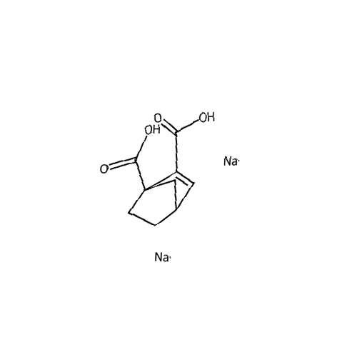 O=C(O)C1=CC2CCC1(C(=O)O)C2.[Na].[Na]